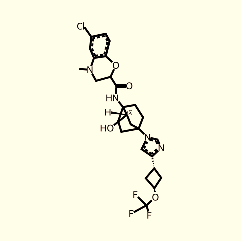 CN1CC(C(=O)NC23CCC(n4cnc([C@H]5C[C@@H](OC(F)(F)F)C5)c4)(CC2)C[C@@H]3O)Oc2ccc(Cl)cc21